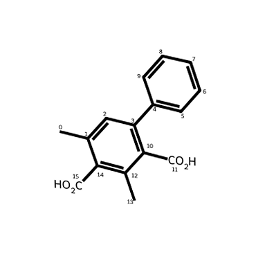 Cc1cc(-c2ccccc2)c(C(=O)O)c(C)c1C(=O)O